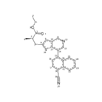 CCOC(=O)[C@H](C)Cc1cc2cncc(-c3ccc(C#N)c4ccccc34)c2s1